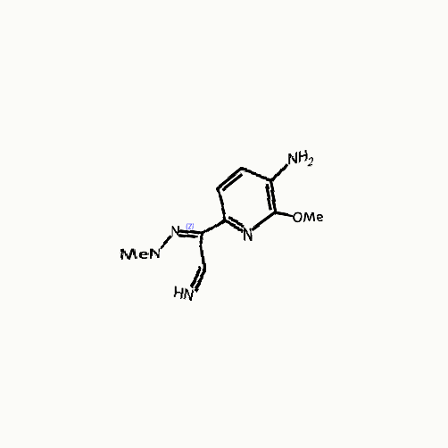 CN/N=C(\C=N)c1ccc(N)c(OC)n1